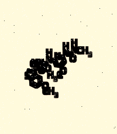 CNC(=O)Nc1cc(OC)cc(NC(=O)NS(=O)(=O)c2csc3ccc(OC)cc23)n1